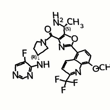 COc1ccc(-c2nc(C(=O)N3CC[C@@H](Nc4ncncc4F)C3)c([C@H](C)N)o2)c2ccc(C(F)(F)F)nc12